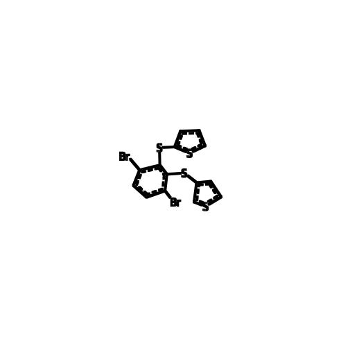 Brc1ccc(Br)c(Sc2cccs2)c1Sc1ccsc1